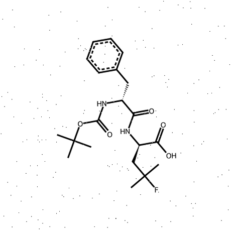 CC(C)(F)C[C@@H](NC(=O)[C@@H](Cc1ccccc1)NC(=O)OC(C)(C)C)C(=O)O